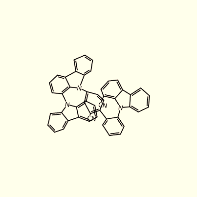 N#Cc1cc(-n2c3ccccc3c3cccc(-n4c5ccccc5c5ccccc54)c32)ccc1-c1ccccc1-n1c2ccccc2c2cccc(C#N)c21